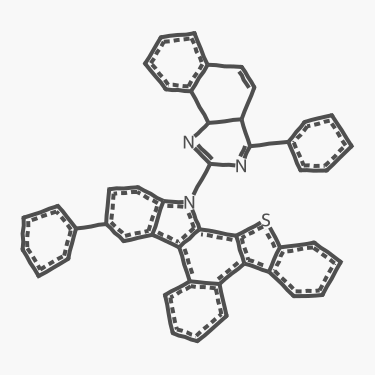 C1=CC2C(c3ccccc3)=NC(n3c4ccc(-c5ccccc5)cc4c4c5ccccc5c5c6ccccc6sc5c43)=NC2c2ccccc21